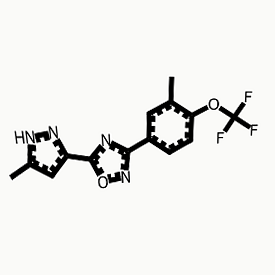 Cc1cc(-c2nc(-c3ccc(OC(F)(F)F)c(C)c3)no2)n[nH]1